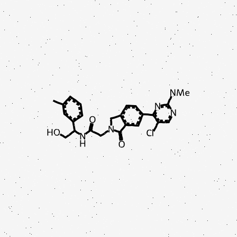 CNc1ncc(Cl)c(-c2ccc3c(c2)C(=O)N(CC(=O)NC(CO)c2cccc(C)c2)C3)n1